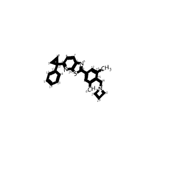 Cc1cc(-c2nc3ccc(C4(c5ccccc5)C=C4)nc3s2)cc(C)c1CN1CCC1